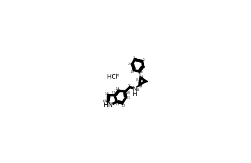 Cl.c1ccc([C@@H]2C[C@H]2NCc2ccc3[nH]ccc3c2)cc1